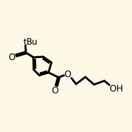 CC(C)(C)C(=O)c1ccc(C(=O)OCCCCO)cc1